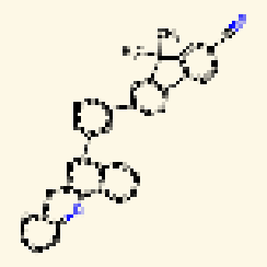 CC1(C)c2cc(C#N)ccc2-c2ccc(-c3cccc(-c4cc5cc6ccccc6nc5c5ccccc45)c3)cc21